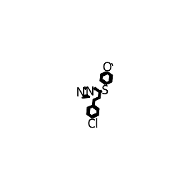 COc1ccc(SC(CCc2ccc(Cl)cc2)Cn2ccnc2)cc1